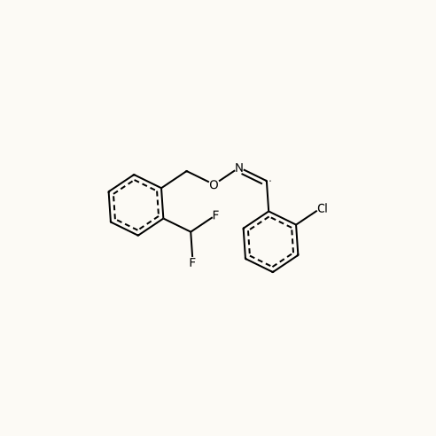 FC(F)c1ccccc1CO/N=[C]\c1ccccc1Cl